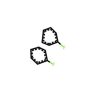 Fc1ccccc1.Fc1ccccc1